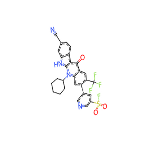 N#Cc1ccc2c(c1)[nH]c1c2c(=O)c2cc(C(F)(F)F)c(-c3cncc(S(=O)(=O)F)c3)cc2n1C1CCCCC1